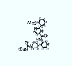 CSc1ccccc1-c1nccc(C(=O)Nc2cnccc2N2CCN(C(=O)OC(C)(C)C)CC2)n1